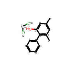 Cc1cc(C)c(-c2ccccc2)c(O)c1.[Cl][Ti][Cl]